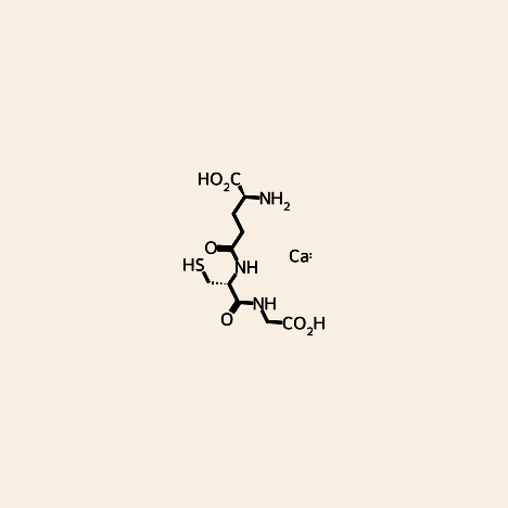 N[C@@H](CCC(=O)N[C@@H](CS)C(=O)NCC(=O)O)C(=O)O.[Ca]